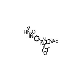 CC(=O)N1Cc2nc(-c3ccc(NC(=O)NC4CC4)cc3)nc(N3CCOCC3C)c2C1